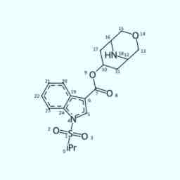 CC(C)S(=O)(=O)n1cc(C(=O)OC2CC3COCC(C2)N3)c2ccccc21